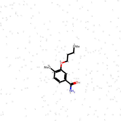 COCCCOc1cc(C(N)=O)ccc1OC